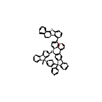 CC1(C)c2ccccc2-c2ccc(N(c3ccc(-c4cccc5oc6c7ccccc7ccc6c45)cc3)c3cc4c(cc3-c3ccccc3)-c3ccccc3C4(c3ccccc3)c3ccccc3)cc21